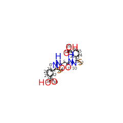 CN(NC(=O)CC(=O)NN(C)C(=S)c1cccc(C(=O)O)c1)C(=S)c1cccc(C(=O)O)c1